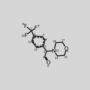 O=CC(c1ccc(C(F)(F)F)cc1)N1CCOCC1